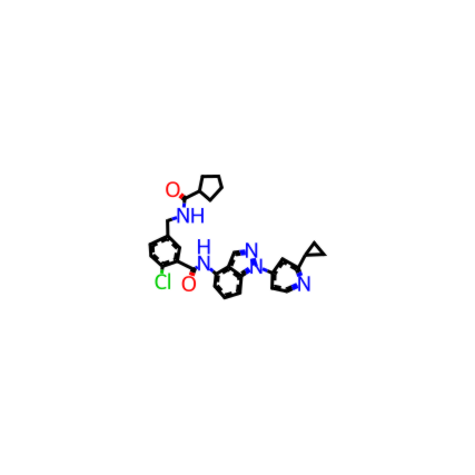 O=C(Nc1cccc2c1cnn2-c1ccnc(C2CC2)c1)c1cc(CNC(=O)C2CCCC2)ccc1Cl